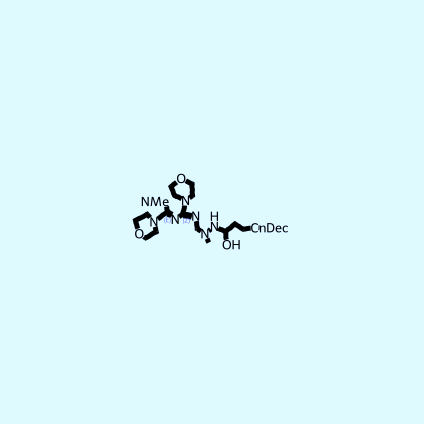 CCCCCCCCCCCCCC(O)NN(C)C/N=C(\N=C(/NC)N1CCOCC1)N1CCOCC1